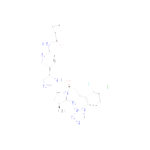 C[C@H]1C[C@H](c2ncc(-c3ccc(NC(=O)C4CC4)nc3)[nH]2)n2c1nc(-c1c(-n3cnnn3)ccc(Cl)c1F)cc2=O